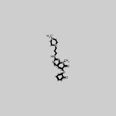 CN1CCN(CCCNc2ncc3cc(Oc4ccccc4Cl)c(=O)n(C)c3n2)CC1